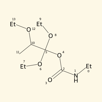 CCNC(=O)OC(OCC)(OCC)C(C)OCC